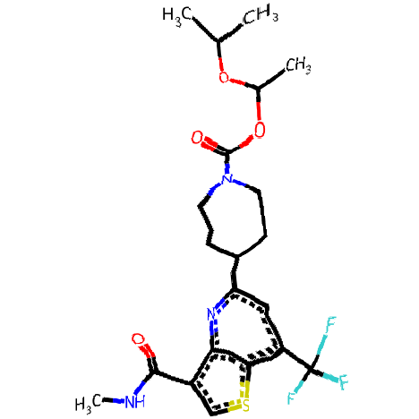 CNC(=O)c1csc2c(C(F)(F)F)cc(C3CCN(C(=O)OC(C)OC(C)C)CC3)nc12